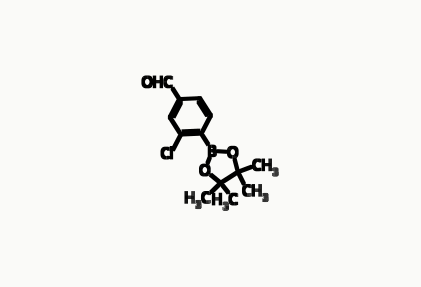 CC1(C)OB(c2ccc(C=O)cc2Cl)OC1(C)C